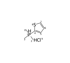 C[PH](C)(C)c1cccs1.Cl